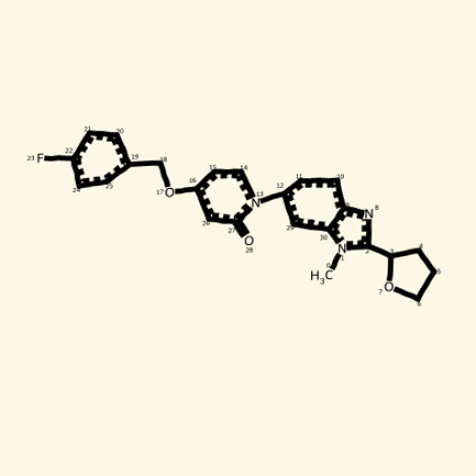 Cn1c(C2CCCO2)nc2ccc(-n3ccc(OCc4ccc(F)cc4)cc3=O)cc21